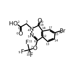 O=C(O)Cn1nc(OC(F)(F)F)c2ccc(Br)cc2c1=O